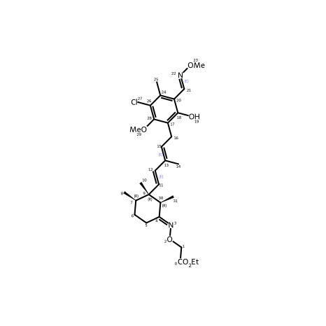 CCOC(=O)CON=C1CC[C@@H](C)[C@](C)(/C=C/C(C)=C/Cc2c(O)c(/C=N/OC)c(C)c(Cl)c2OC)[C@H]1C